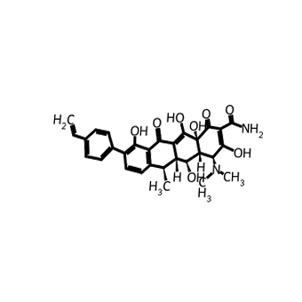 C=Cc1ccc(-c2ccc3c(c2O)C(=O)C2=C(O)[C@]4(O)C(=O)C(C(N)=O)=C(O)[C@@H](N(C)C)[C@@H]4[C@@H](O)[C@@H]2[C@H]3C)cc1